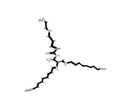 CCCCCCCCCCCCCCCCCCOC[C@@H](OCCCCCCCCCCCCCCCCCC)[C@@H](C)OC(=O)NCCCOCCOC